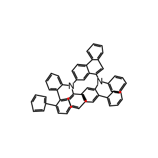 c1ccc(-c2ccccc2-c2ccccc2N(c2ccccc2)c2ccc3c(c2)c(N(c2ccccc2)c2ccccc2-c2ccccc2)cc2ccccc23)cc1